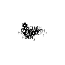 C=N/C(C)=C(\SC)c1ccc(CNC(C)(O)[C@@H]2C[C@@H](O)CN2C(=O)[C@H](C(C)C)N2CC(=O)c3ccccc3C2)c(O)c1